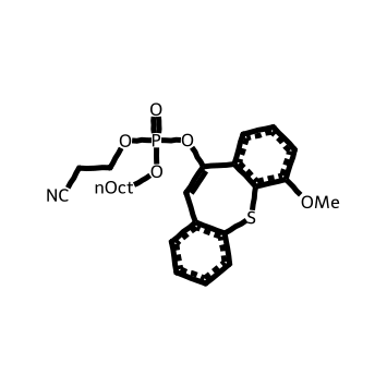 CCCCCCCCOP(=O)(OCCC#N)OC1=Cc2ccccc2Sc2c(OC)cccc21